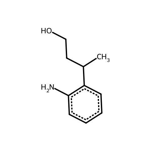 CC(CCO)c1ccccc1N